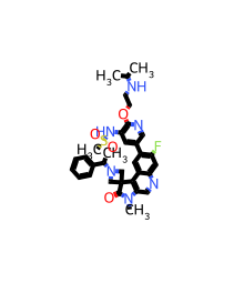 CC(C)NCCOc1ncc(-c2cc3c4c(cnc3cc2F)N(C)C(=O)C42CN(C(C)c3ccccc3)C2)cc1NS(C)(=O)=O